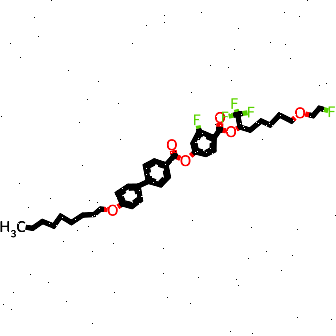 CCCCCCCCCOc1ccc(-c2ccc(C(=O)Oc3ccc(C(=O)OC(CCCCCOCCF)C(F)(F)F)c(F)c3)cc2)cc1